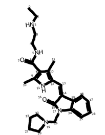 CCNCCNC(=O)c1c(C)[nH]c(C=C2C(=O)N(CN3CCCC3)c3ccccc32)c1C